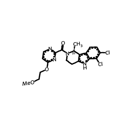 COCCOc1ccnc(C(=O)N2CCc3[nH]c4c(Cl)c(Cl)ccc4c3[C@@H]2C)n1